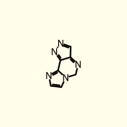 C1=NN=C2C1=NCn1ccnc12